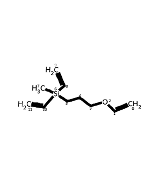 C=COCCC[Si](C)(C=C)C=C